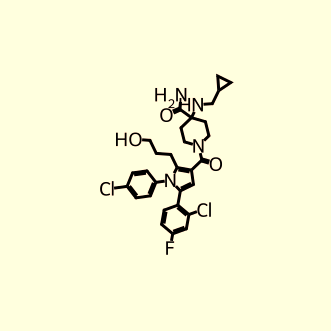 NC(=O)C1(NCC2CC2)CCN(C(=O)c2cc(-c3ccc(F)cc3Cl)n(-c3ccc(Cl)cc3)c2CCCO)CC1